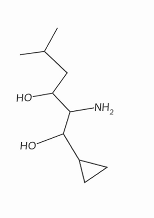 CC(C)CC(O)C(N)C(O)C1CC1